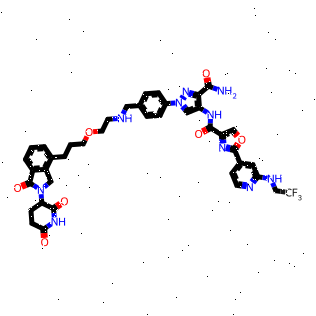 NC(=O)c1nn(-c2ccc(CNCCOCCCc3cccc4c3CN(C3CCC(=O)NC3=O)C4=O)cc2)cc1NC(=O)c1coc(-c2ccnc(NCC(F)(F)F)c2)n1